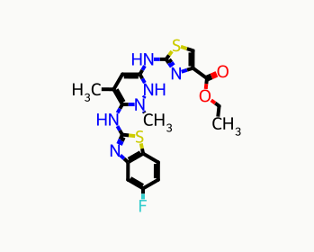 CCOC(=O)c1csc(NC2=CC(C)=C(Nc3nc4cc(F)ccc4s3)N(C)N2)n1